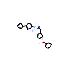 N=C1C=C(c2ccccc2)C(=O)C=C1c1ncc(Cc2cccc(NC(=O)c3ccccc3)c2)[nH]1